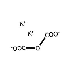 O=C([O-])OC(=O)[O-].[K+].[K+]